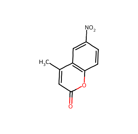 Cc1cc(=O)oc2ccc([N+](=O)[O-])cc12